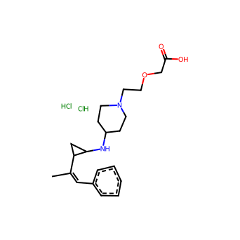 CC(=Cc1ccccc1)C1CC1NC1CCN(CCOCC(=O)O)CC1.Cl.Cl